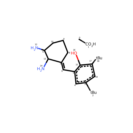 CC(=O)O.CC(C)(C)c1cc(C=C2CCCC(N)C2N)c(O)c(C(C)(C)C)c1